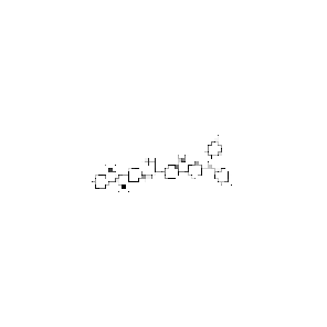 [2H]/C(=C(/[2H])c1ccc2c(c1)C(C)(C)c1cc(N(c3ccc(C)cc3)c3ccc(C)cc3)ccc1-2)c1ccc2c(c1)C(C)(C)C1=C2C(C)(C)c2ccccc21